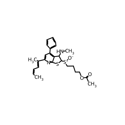 C/C=C\C=C(/C)c1cc(-c2ccccc2)c2c(n1)SC([S+]([O-])CCCCOC(C)=O)C2NC